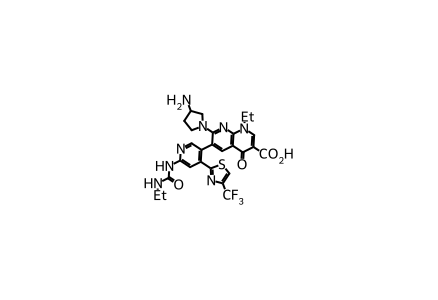 CCNC(=O)Nc1cc(-c2nc(C(F)(F)F)cs2)c(-c2cc3c(=O)c(C(=O)O)cn(CC)c3nc2N2CCC(N)C2)cn1